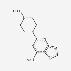 COc1nc(N2CCN(C(=O)O)CC2)nc2ccsc12